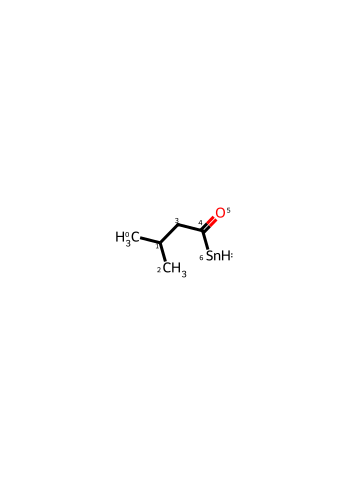 CC(C)C[C](=O)[SnH]